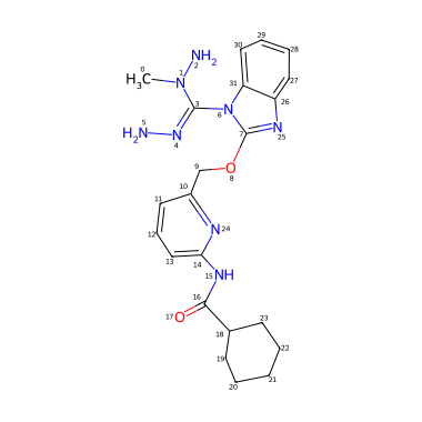 CN(N)/C(=N\N)n1c(OCc2cccc(NC(=O)C3CCCCC3)n2)nc2ccccc21